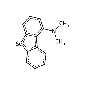 CN(C)c1cccc2[se]c3ccccc3c12